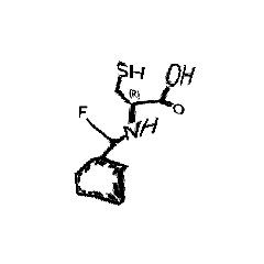 O=C(O)[C@H](CS)NC(F)c1ccccc1